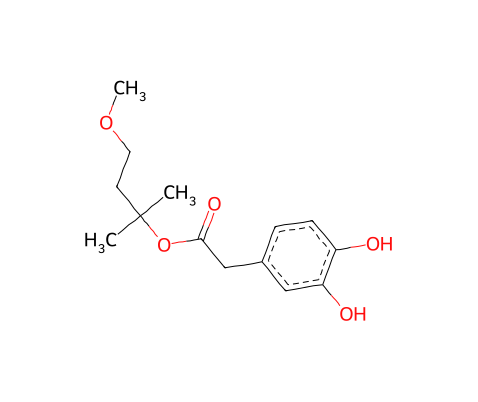 COCCC(C)(C)OC(=O)Cc1ccc(O)c(O)c1